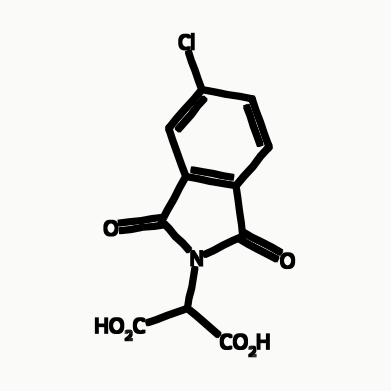 O=C(O)C(C(=O)O)N1C(=O)c2ccc(Cl)cc2C1=O